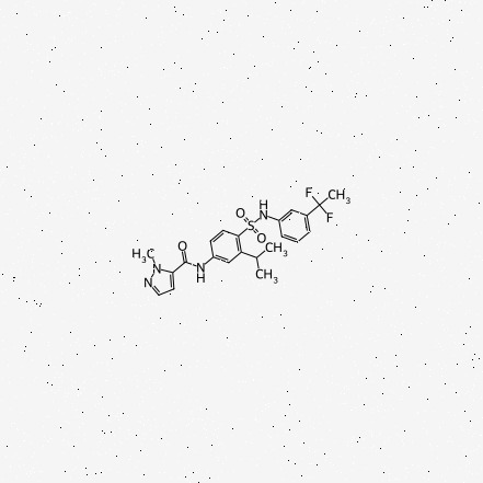 CC(C)c1cc(NC(=O)c2ccnn2C)ccc1S(=O)(=O)Nc1cccc(C(C)(F)F)c1